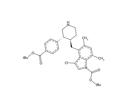 Cc1cc(C)c2c(c(Cl)cn2C(=O)OC(C)(C)C)c1C[C@@H]1CCNC[C@H]1c1ccc(C(=O)OC(C)(C)C)cc1